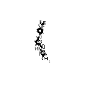 Cc1csc(NC(=O)c2ccc(COc3ccc(OC(F)(F)F)cc3)o2)n1